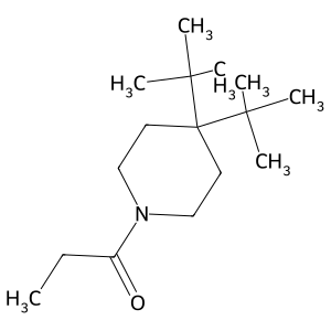 CCC(=O)N1CCC(C(C)(C)C)(C(C)(C)C)CC1